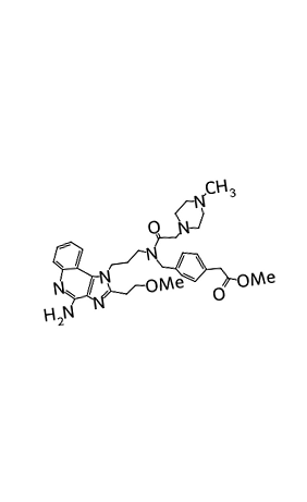 COCCc1nc2c(N)nc3ccccc3c2n1CCCN(Cc1ccc(CC(=O)OC)cc1)C(=O)CN1CCN(C)CC1